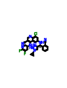 N#Cc1ccccc1[C@H](Nc1cc(Cl)c2ncc(C#N)c(Nc3cnc(F)c(F)c3)c2c1)C1=CN(C2CC2)NN1